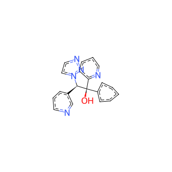 O[C@](c1ccccc1)(c1ccccn1)[C@@H](c1cccnc1)n1ccnn1